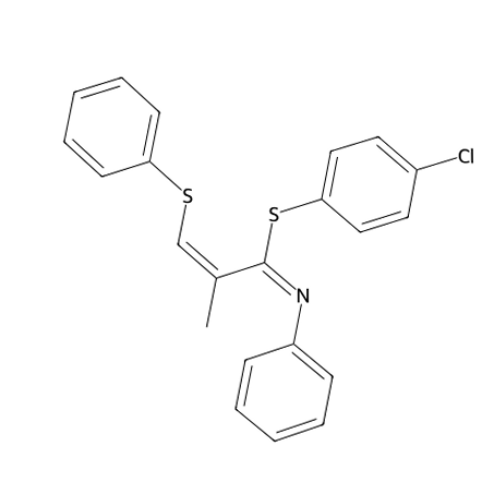 CC(=CSc1ccccc1)C(=Nc1ccccc1)Sc1ccc(Cl)cc1